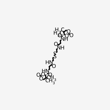 CC1(C)COC(=O)O[C@@H]1C(=O)NCCC(=O)NCCSSCCNC(=O)CCNC(=O)[C@H]1OC(=O)OCC1(C)C